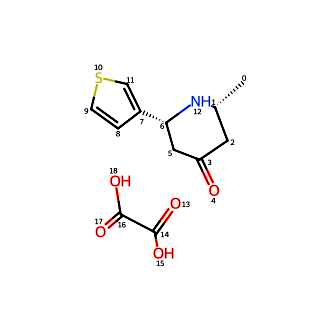 C[C@@H]1CC(=O)C[C@H](c2ccsc2)N1.O=C(O)C(=O)O